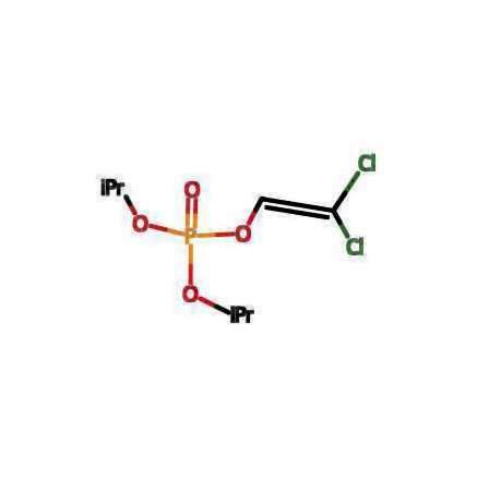 CC(C)OP(=O)(OC=C(Cl)Cl)OC(C)C